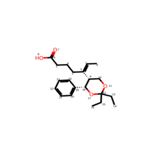 C/C=C(/CCCC(=O)O)[C@@H]1COC(CC)(CC)O[C@@H]1c1ccccc1